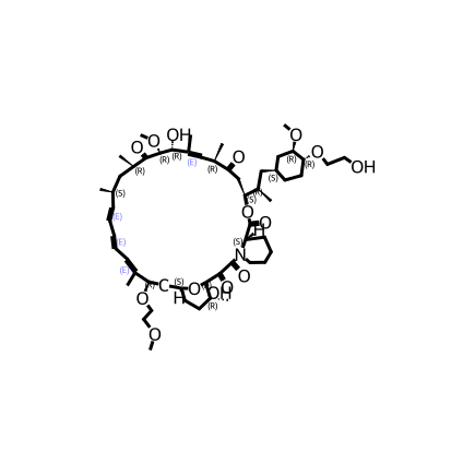 COCCO[C@@H]1C[C@@H]2CC[C@@H](C)[C@@](O)(O2)C(=O)C(=O)N2CCCC[C@H]2C(=O)O[C@H]([C@H](C)C[C@@H]2CC[C@@H](OCCO)[C@H](OC)C2)CC(=O)[C@H](C)/C=C(\C)[C@@H](O)[C@@H](OC)C(=O)[C@H](C)C[C@H](C)/C=C/C=C/C=C/1C